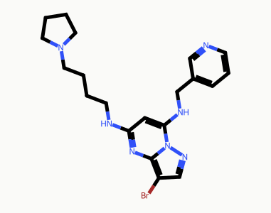 Brc1cnn2c(NCc3cccnc3)cc(NCCCCN3CCCC3)nc12